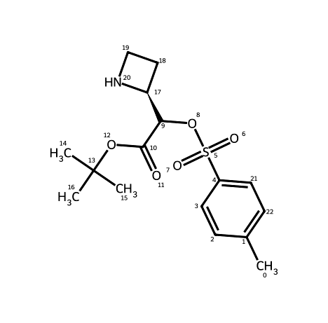 Cc1ccc(S(=O)(=O)OC(C(=O)OC(C)(C)C)[C@@H]2CCN2)cc1